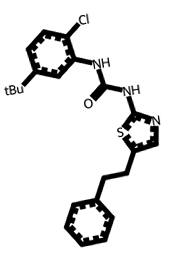 CC(C)(C)c1ccc(Cl)c(NC(=O)Nc2ncc(CCc3ccccc3)s2)c1